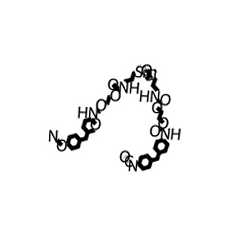 C[Si](C)(CCCNC(=O)OCCOCNC1CCC(CC2CCC(OC#N)CC2)CO1)O[Si](C)(C)CCCNC(=O)OCCOC(=O)NC1CCC(CC2CCC(N=C=O)CC2)CC1